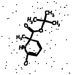 CC(C)(C)OC(=O)C1(C)C=CC=C(Cl)N1